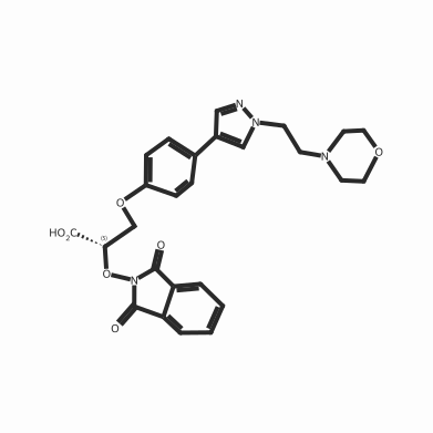 O=C(O)[C@H](COc1ccc(-c2cnn(CCN3CCOCC3)c2)cc1)ON1C(=O)c2ccccc2C1=O